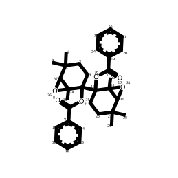 CC1(C)CCC(OC(=O)c2ccccc2)(C2(OC(=O)c3ccccc3)CCC(C)(C)C3OC32C)C2(C)OC12